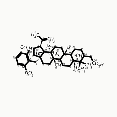 C=C(C)[C@@H]1CC[C@]2(Cc3c(C(=O)O)cccc3[N+](=O)[O-])CC[C@]3(C)[C@H](CC[C@@H]4[C@@]5(C)CCC(CC(=O)O)C(C)(C)[C@@H]5CC[C@]43C)[C@@H]12